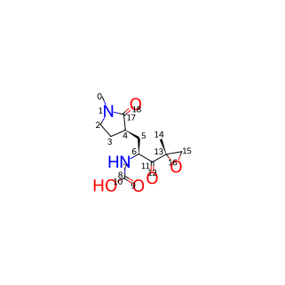 CN1CC[C@H](C[C@H](NC(=O)O)C(=O)[C@]2(C)CO2)C1=O